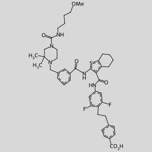 COCCCCNC(=O)N1CCN(Cc2cccc(C(=O)Nc3sc4c(c3C(=O)Nc3cc(F)c(CCc5ccc(C(=O)O)cc5)c(F)c3)CCCC4)c2)C(C)(C)C1